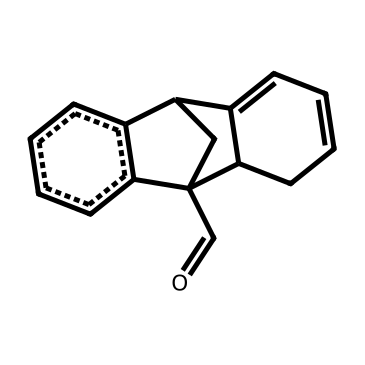 O=CC12CC(C3=CC=CCC31)c1ccccc12